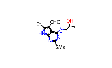 CCc1[nH]c2nc(SC)nc(NC[C@H](C)O)c2c1C=O